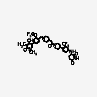 Cc1c(-c2ccc(CN3CCC(CC(=O)N4CCC(c5ccc(NC6CCC(=O)NC6=O)cc5C(F)(F)F)CC4)CC3)c(OC(F)(F)F)c2)cn(C)c(=O)c1C